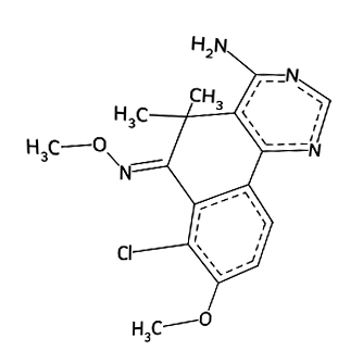 CO/N=C1/c2c(ccc(OC)c2Cl)-c2ncnc(N)c2C1(C)C